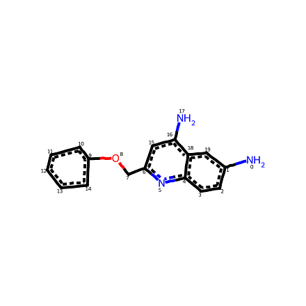 Nc1ccc2nc(COc3ccccc3)cc(N)c2c1